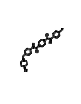 CCN1CCN(Cc2ccc(NC(=O)N3CCN(C(=O)Nc4ccc(F)cc4)CC3)cc2)CC1